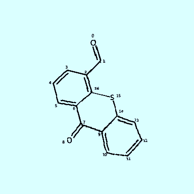 O=[C]c1cccc2c(=O)c3ccccc3sc12